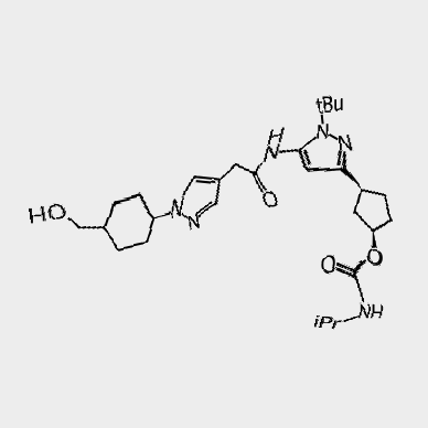 CC(C)NC(=O)O[C@@H]1CC[C@H](c2cc(NC(=O)Cc3cnn(C4CCC(CO)CC4)c3)n(C(C)(C)C)n2)C1